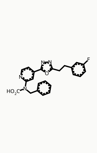 O=C(O)N(Cc1ccccc1)c1cc(-c2nnc(CCc3cccc(F)c3)o2)ccn1